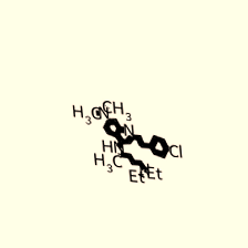 CCN(CC)CCCC(C)Nc1cc(/C=C/c2ccc(Cl)cc2)nc2cc(N(C)C)ccc12